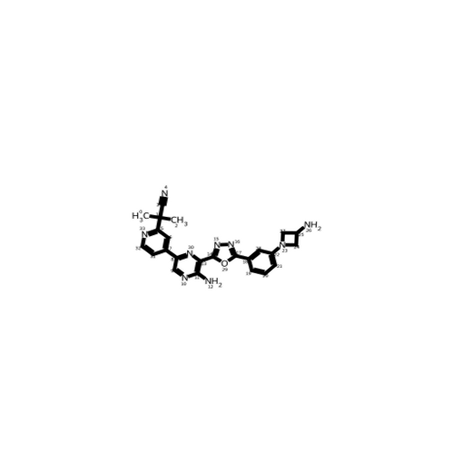 CC(C)(C#N)c1cc(-c2cnc(N)c(-c3nnc(-c4cccc(N5CC(N)C5)c4)o3)n2)ccn1